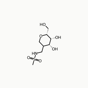 CS(=O)(=O)NCC1CO[C@H](CO)[C@H](O)[C@@H]1O